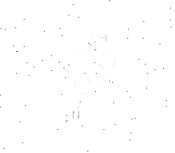 CN(C)c1cccc(Oc2cc(C#N)cc(C#N)c2)c1